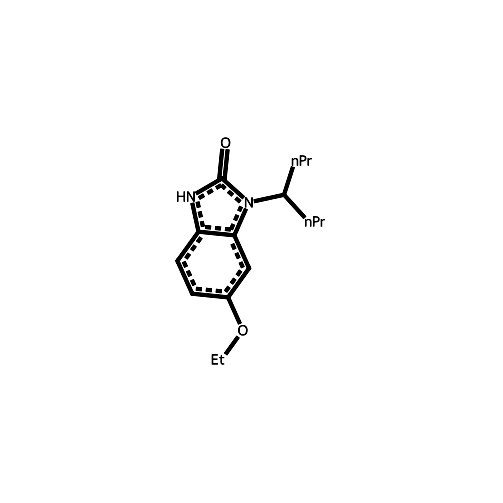 CCCC(CCC)n1c(=O)[nH]c2ccc(OCC)cc21